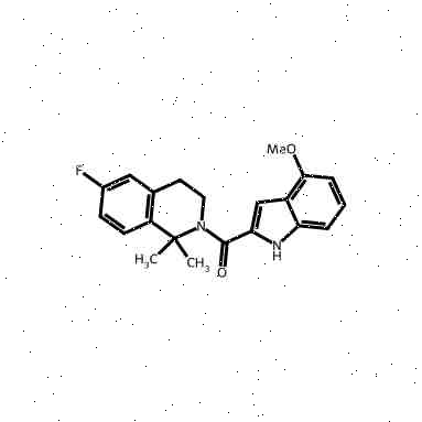 COc1cccc2[nH]c(C(=O)N3CCc4cc(F)ccc4C3(C)C)cc12